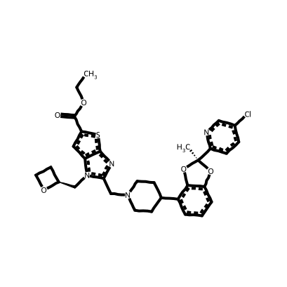 CCOC(=O)c1cc2c(nc(CN3CCC(c4cccc5c4O[C@@](C)(c4ccc(Cl)cn4)O5)CC3)n2C[C@@H]2CCO2)s1